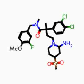 COc1ccc(CN(C)C(=O)C(C)(CCN2CCC(S(C)(=O)=O)CC2N)c2ccc(Cl)c(Cl)c2)cc1F